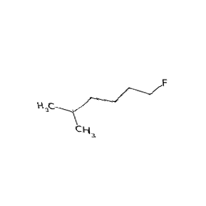 C[C](C)CCCCF